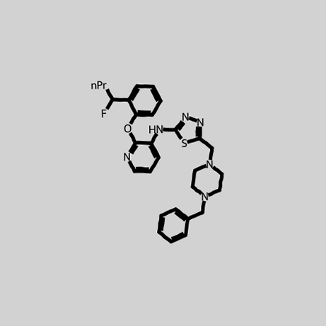 CCCC(F)c1ccccc1Oc1ncccc1Nc1nnc(CN2CCN(Cc3ccccc3)CC2)s1